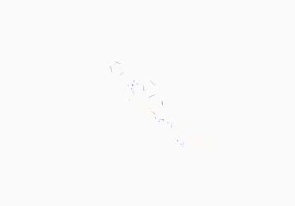 O=C1N=C(N2CCN[C@@H](CO)C2)SC1=Cc1ccc2c(c1)c(I)nn2Cc1ccc(C(F)(F)F)cc1C(F)(F)F